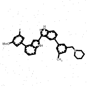 COc1cc(F)cc(-c2cccc3[nH]c(-c4n[nH]c5ccc(-c6cc(C)cc(CN7CCCCC7)c6)cc45)cc23)c1